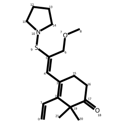 C=CC1=C(/C=C(\COC)SN2CCCC2)CCC(=O)C1(C)C